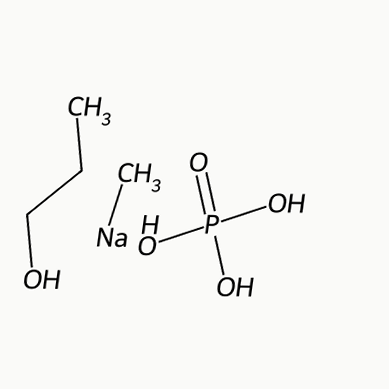 CCCO.O=P(O)(O)O.[CH3][Na]